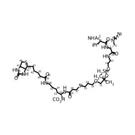 CC(=O)N[C@@H](C(=O)N[C@H](CN=[N+]=[N-])C(=O)NCCO[SiH2]OC(C)(C)COCCCSCCC(=O)N[C@H](CCCCNC(=O)CCCCC1SCC2NC(=O)NC21)C(=O)O)C(C)C